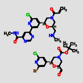 C=CC(=O)N1C[C@@H](CNC)O[C@H](c2cc(Cl)nc(-c3cc(C(=O)NC)ncn3)c2)C1.CC(C)(C)OC(=O)N1C[C@@H](C=O)O[C@H](c2cc(Cl)nc(Br)c2)C1